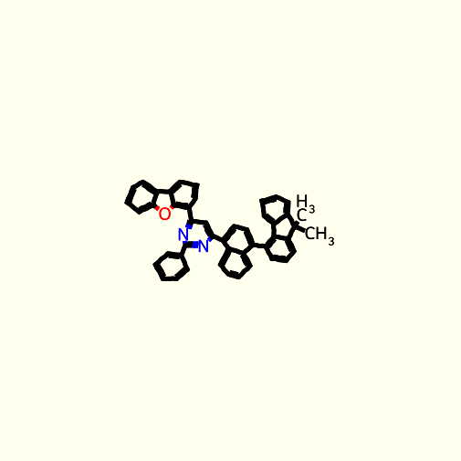 CC1(C)c2ccccc2-c2c(-c3ccc(-c4cc(-c5cccc6c5oc5ccccc56)nc(-c5ccccc5)n4)c4ccccc34)cccc21